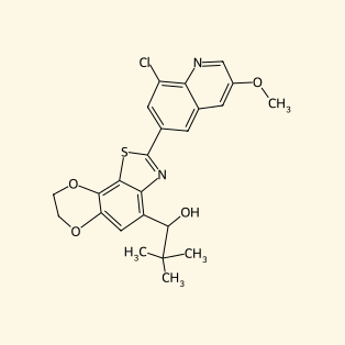 COc1cnc2c(Cl)cc(-c3nc4c(C(O)C(C)(C)C)cc5c(c4s3)OCCO5)cc2c1